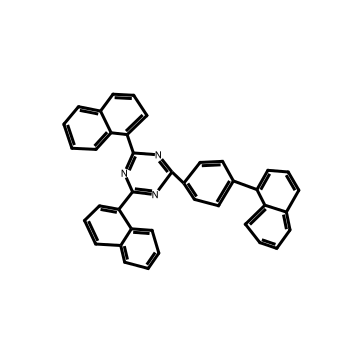 c1ccc2c(-c3ccc(-c4nc(-c5cccc6ccccc56)nc(-c5cccc6ccccc56)n4)cc3)cccc2c1